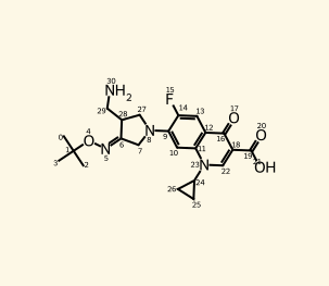 CC(C)(C)ON=C1CN(c2cc3c(cc2F)c(=O)c(C(=O)O)cn3C2CC2)CC1CN